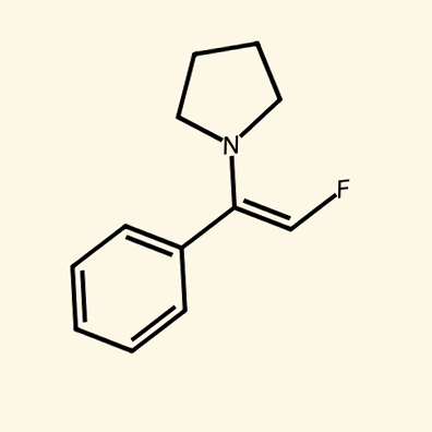 FC=C(c1ccccc1)N1CCCC1